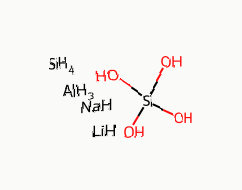 O[Si](O)(O)O.[AlH3].[LiH].[NaH].[SiH4]